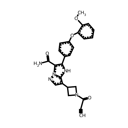 C#CC(=O)N1CC(c2cnn3c(C(N)=O)c(-c4ccc(Oc5ccccc5OC)cc4)[nH]c23)C1